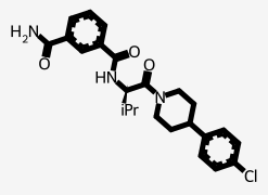 CC(C)[C@@H](NC(=O)c1cccc(C(N)=O)c1)C(=O)N1CCC(c2ccc(Cl)cc2)CC1